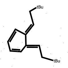 CC(C)(C)CC=c1ccccc1=CCC(C)(C)C